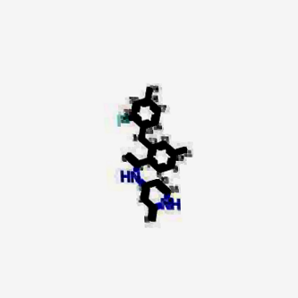 C=C1C=C(NC(=C)c2ccc(C)cc2Cc2ccc(C)cc2F)C=CN1